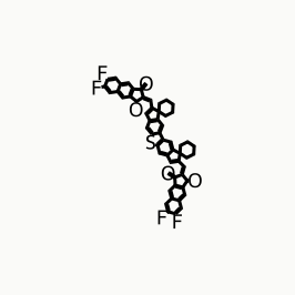 O=C1C(=CC2=Cc3cc4sc5cc6c(cc5c4cc3C23CCCCC3)C2(CCCCC2)C(C=C2C(=O)c3cc4cc(F)c(F)cc4cc3C2=O)=C6)C(=O)c2cc3cc(F)c(F)cc3cc21